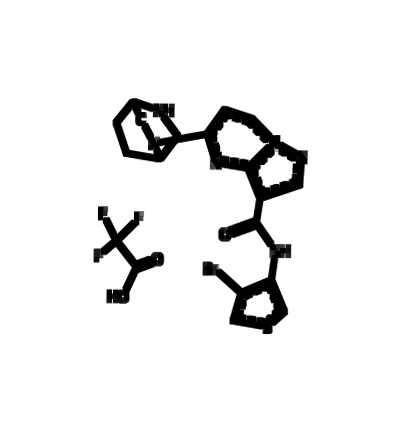 O=C(Nc1cscc1Br)c1cnn2ccc(N3CC4CCC3CN4)nc12.O=C(O)C(F)(F)F